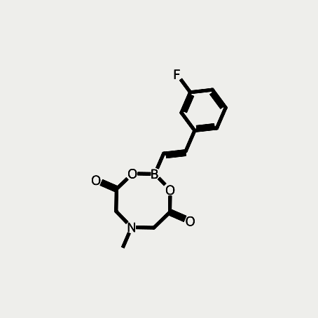 CN1CC(=O)OB(C=Cc2cccc(F)c2)OC(=O)C1